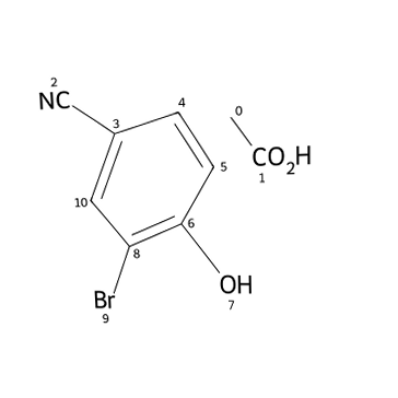 CC(=O)O.N#Cc1ccc(O)c(Br)c1